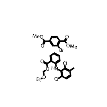 CCOCOC(=O)c1ccccc1Nc1c(Cl)ccc(C)c1Cl.COC(=O)c1ccc(C(=O)OC)c(Br)c1